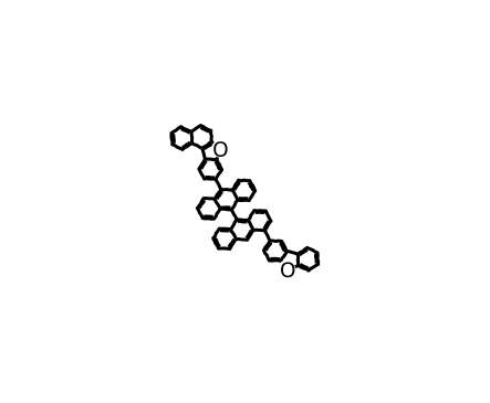 c1ccc2c(-c3c4ccccc4c(-c4ccc5c(c4)oc4ccc6ccccc6c45)c4ccccc34)c3cccc(-c4ccc5oc6ccccc6c5c4)c3cc2c1